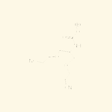 CC(C)(C)OC(=O)NC(COCCC#N)COCCC#N